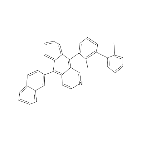 Cc1ccccc1-c1cccc(-c2c3ccccc3c(-c3ccc4ccccc4c3)c3ccncc23)c1C